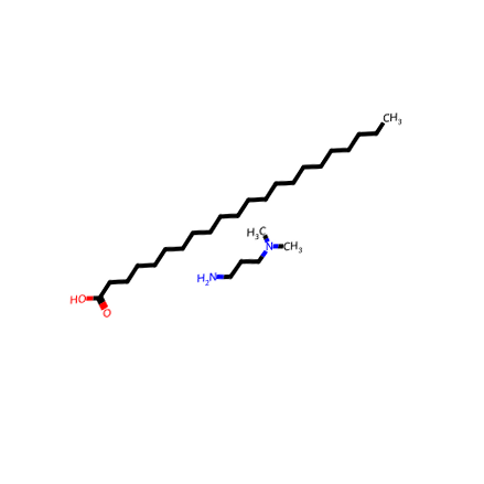 CCCCCCCCCCCCCCCCCCCCCC(=O)O.CN(C)CCCN